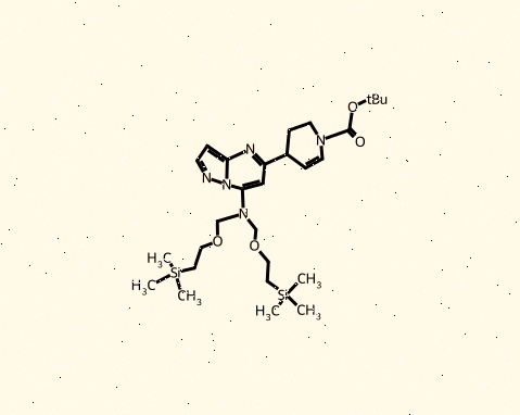 CC(C)(C)OC(=O)N1C=CC(c2cc(N(COCC[Si](C)(C)C)COCC[Si](C)(C)C)n3nccc3n2)CC1